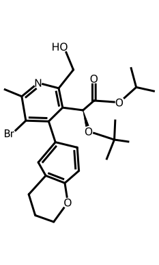 Cc1nc(CO)c([C@H](OC(C)(C)C)C(=O)OC(C)C)c(-c2ccc3c(c2)CCCO3)c1Br